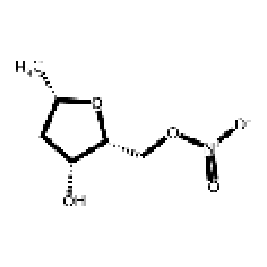 C[C@H]1C[C@@H](O)[C@@H](CO[N+](=O)[O-])O1